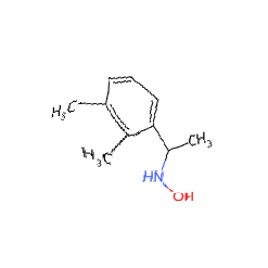 Cc1cccc(C(C)NO)c1C